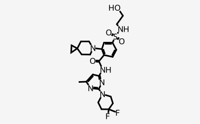 Cc1cc(NC(=O)c2ccc(S(=O)(=O)NCCO)cc2N2CCC3(CC2)CC3)nc(N2CCC(F)(F)CC2)n1